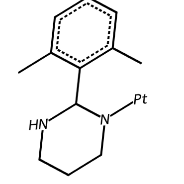 Cc1cccc(C)c1C1NCCC[N]1[Pt]